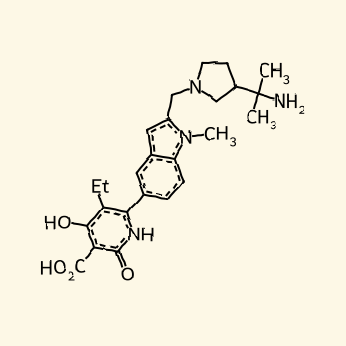 CCc1c(-c2ccc3c(c2)cc(CN2CCC(C(C)(C)N)C2)n3C)[nH]c(=O)c(C(=O)O)c1O